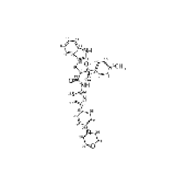 Cc1ccc(S(=O)(=O)C(Cc2c[nH]c3ccccc23)C(=O)Nc2nc(-c3ccc(N4CCOCC4)cc3)cs2)cc1